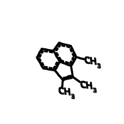 CC1=C(C)c2c(C)ccc3cccc1c23